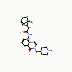 CN1CCC(Cn2ccc3c(NC(=O)CC4CC5CC[C@H]4C5)cccc3c2=O)CC1